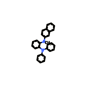 CN(c1ccc2ccccc2c1)c1ccccc1N(c1ccccc1)c1ccccc1